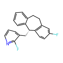 Fc1ccc2c(c1)CCc1ccccc1[C@H]2Cc1cccnc1F